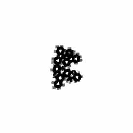 CC1(C)c2ccccc2Oc2cc(N(c3cc4c(c(C5(c6ccccc6)c6ccccc6-c6ccccc65)c3)C(C)(C)c3ccccc3-4)c3cccc4sc5c6ccccc6ccc5c34)ccc21